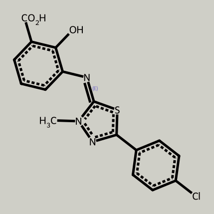 Cn1nc(-c2ccc(Cl)cc2)s/c1=N/c1cccc(C(=O)O)c1O